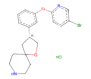 Brc1ccc(Oc2cccc([C@@H]3COC4(CCNCC4)C3)c2)nc1.Cl